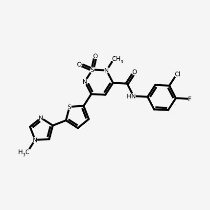 CN1C(C(=O)Nc2ccc(F)c(Cl)c2)=CC(c2ccc(-c3cn(C)cn3)s2)=NS1(=O)=O